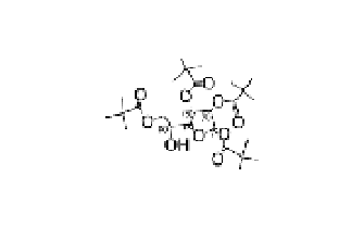 CC(C)(C)C(=O)OC[C@H](O)[C@@H]1O[C@@H](OC(=O)C(C)(C)C)[C@H](OC(=O)C(C)(C)C)[C@H]1OC(=O)C(C)(C)C